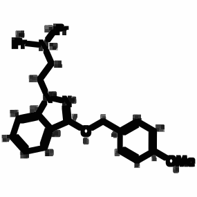 COc1ccc(COc2nn(CCN(C(C)C)C(C)C)c3ccccc23)cc1